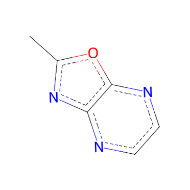 Cc1nc2nccnc2o1